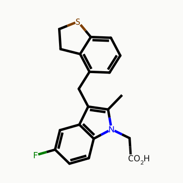 Cc1c(Cc2cccc3c2CCS3)c2cc(F)ccc2n1CC(=O)O